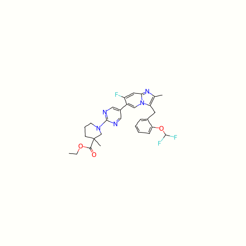 CCOC(=O)C1(C)CCCN(c2ncc(-c3cn4c(Cc5ccccc5OC(F)F)c(C)nc4cc3F)cn2)C1